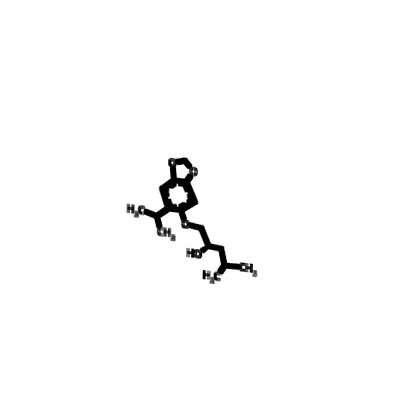 CC(C)C[C@@H](O)COc1cc2c(cc1C(C)C)OCO2